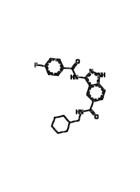 O=C(NCC1CCCCC1)c1ccc2[nH]nc(NC(=O)c3ccc(F)cc3)c2c1